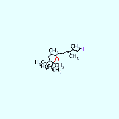 CC(=C\CI)/C(C)=C/CCC1OC(C)(C(C)C)C(C(C)C)CC1C